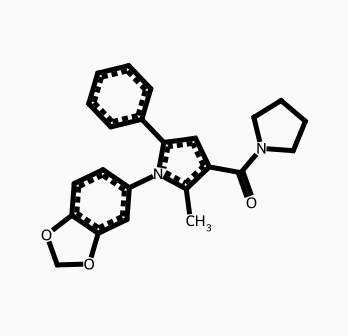 Cc1c(C(=O)N2CCCC2)cc(-c2ccccc2)n1-c1ccc2c(c1)OCO2